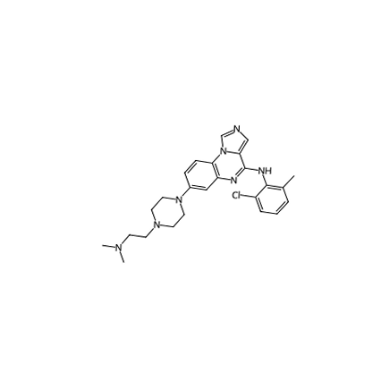 Cc1cccc(Cl)c1Nc1nc2cc(N3CCN(CCN(C)C)CC3)ccc2n2cncc12